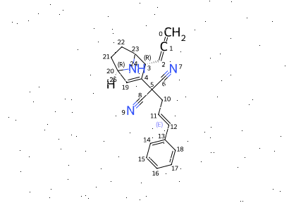 C=C=C[C@@H]1C(C(C#N)(C#N)C/C=C/c2ccccc2)=C[C@H]2CCC1N2